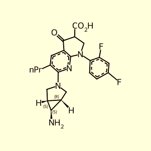 CCCc1cc2c(nc1N1C[C@@H]3[C@@H](N)[C@@H]3C1)N(c1ccc(F)cc1F)CC(C(=O)O)C2=O